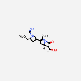 COC[C@@H]1CC(C2=C(C(=O)O)N3C(=O)[C@H]([C@@H](C)O)[C@H]3C2)CN1C=N